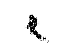 Cc1cc(Nc2cc(Nc3ccnc(-c4ccccc4F)c3)ncn2)c(OC(F)F)cc1N1CCC(N2CCN(C)CC2)CC1